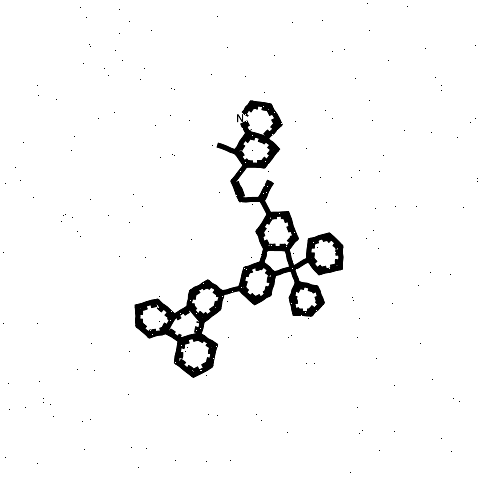 C=C(/C=C\c1ccc2cccnc2c1C)c1ccc2c(c1)-c1cc(-c3ccc4c5ccccc5c5ccccc5c4c3)ccc1C2(c1ccccc1)c1ccccc1